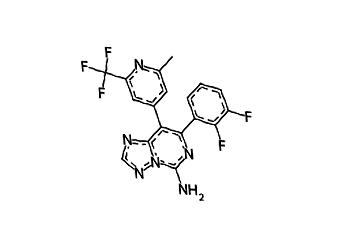 Cc1cc(-c2c(-c3cccc(F)c3F)nc(N)n3ncnc23)cc(C(F)(F)F)n1